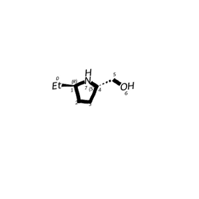 CC[C@@H]1CC[C@@H](CO)N1